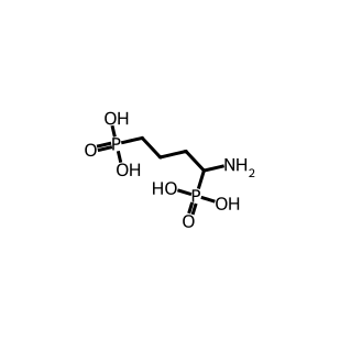 NC(CCCP(=O)(O)O)P(=O)(O)O